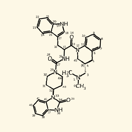 CN(C)C[C@H]1Cc2ccccc2N(C(=O)C(Cc2c[nH]c3ccccc23)NC(=O)N2CCC(n3c(=O)[nH]c4ccccc43)CC2)C1